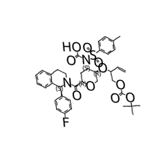 C=CC(COC(=O)OC(C)(C)C)O[C@H]1CO[C@@H](C(=O)N2CCc3ccccc3[C@@H]2c2ccc(F)cc2)C[C@@H]1N(C(=O)O)S(=O)(=O)c1ccc(C)cc1